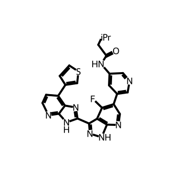 CC(C)CC(=O)Nc1cncc(-c2cnc3[nH]nc(-c4nc5c(-c6ccsc6)ccnc5[nH]4)c3c2F)c1